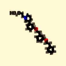 O=C(O)CCN1CCCC(c2cccc(OCCc3cccc(OCCc4ccccc4)c3)c2)C1